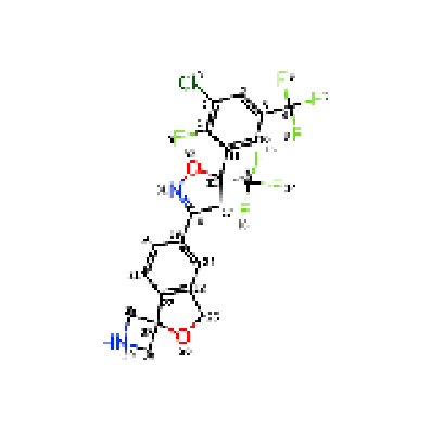 Fc1c(Cl)cc(C(F)(F)F)cc1[C@@]1(C(F)(F)F)CC(c2ccc3c(c2)COC32CNC2)=NO1